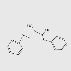 OC(CSc1ccccc1)C(O)Sc1ccccc1